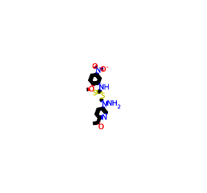 COc1ccc([N+](=O)[O-])cc1NC(=S)SCN(N)c1ccc(C(C)=O)nc1